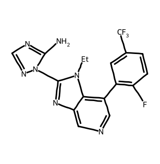 CCn1c(-n2ncnc2N)nc2cncc(-c3cc(C(F)(F)F)ccc3F)c21